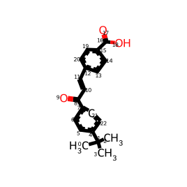 CC(C)(C)c1ccc(C(=O)/C=C/c2ccc(C(=O)O)cc2)cc1